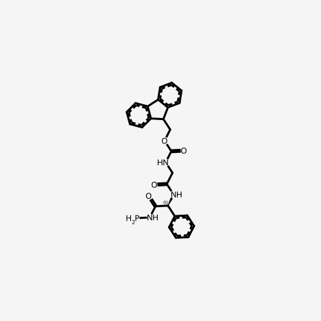 O=C(CNC(=O)OCC1c2ccccc2-c2ccccc21)N[C@H](C(=O)NP)c1ccccc1